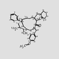 CCC(C)C[C@]1(c2ccccc2)CCCC(CC2CCCCC2)C(C)C(=O)N(Cc2ccc(OC)cc2)CCC1